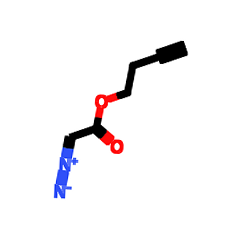 C#CCCOC(=O)C=[N+]=[N-]